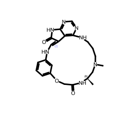 C[C@@H]1CN(C)CCCNc2ncnc3c2/C(=C/Nc2cccc(c2)OCC(=O)N1)C(=O)N3